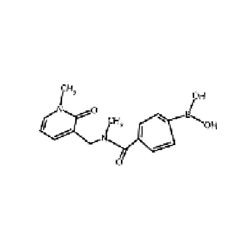 CN(Cc1cccn(C)c1=O)C(=O)c1ccc(B(O)O)cc1